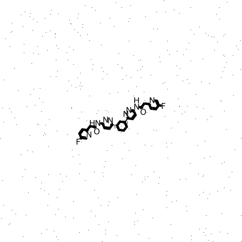 O=C(Cc1ccc(F)cn1)Nc1ccc([C@H]2CCC[C@H](c3ccc(NC(=O)Cc4ccc(F)cn4)nn3)C2)nn1